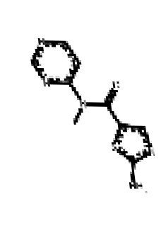 CN(C(=O)c1cnc(N)s1)c1ccncn1